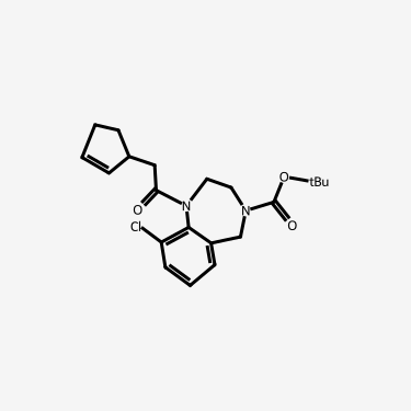 CC(C)(C)OC(=O)N1CCN(C(=O)CC2C=CCC2)c2c(Cl)cccc2C1